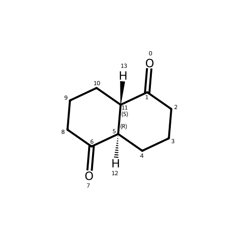 O=C1CCC[C@H]2C(=O)CCC[C@H]12